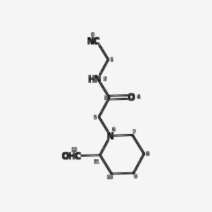 N#CCNC(=O)CN1CCCCC1C=O